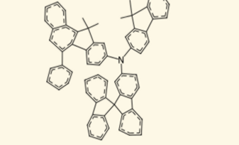 CC1(C)c2ccccc2-c2ccc(N(c3ccc4c(c3)C(C)(C)c3c-4c(-c4ccccc4)cc4ccccc34)c3ccc4c(c3)C3(c5ccccc5-c5ccccc53)c3ccccc3-4)cc21